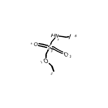 COS(=O)(=O)NI